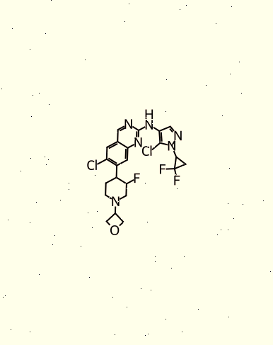 FC1CN(C2COC2)CCC1c1cc2nc(Nc3cnn(C4CC4(F)F)c3Cl)ncc2cc1Cl